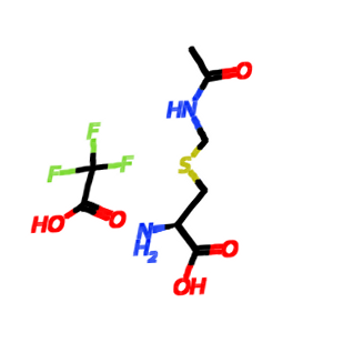 CC(=O)NCSC[C@H](N)C(=O)O.O=C(O)C(F)(F)F